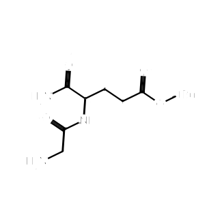 CC(C)(C)OC(=O)CCC(NC(=O)CN)C(N)=O